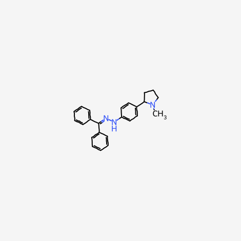 CN1CCCC1c1ccc(NN=C(c2ccccc2)c2ccccc2)cc1